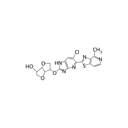 Cc1nccc2sc(-c3nc4nc(OC5COC6C(O)COC56)[nH]c4cc3Cl)nc12